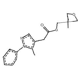 Cc1c(CC(=O)OCC2(C)COC2)cnn1-c1ccccc1